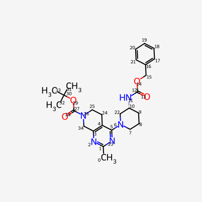 Cc1nc2c(c(N3CCC[C@@H](NC(=O)OCc4ccccc4)C3)n1)CCN(C(=O)OC(C)(C)C)C2